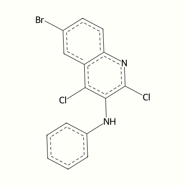 Clc1nc2ccc(Br)cc2c(Cl)c1Nc1ccccc1